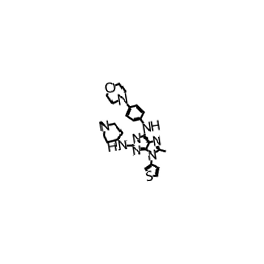 Cc1nc2c(Nc3ccc(N4CCOCC4)cc3)nc(NC3CCN(C)CC3)nc2n1-c1ccsc1